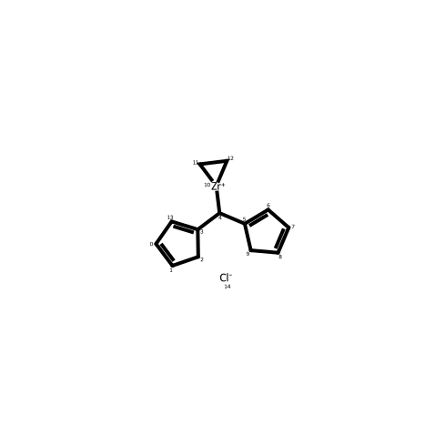 C1=CCC([CH](C2=CC=CC2)[Zr+]2[CH2][CH2]2)=C1.[Cl-]